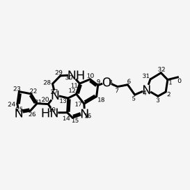 CC1CCN(CCCOc2cc3c4c5c(cnc4c2)NC(c2cccnc2)N5CCN3)CC1